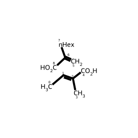 C/C=C(\C)C(=O)O.C=C(CCCCCC)C(=O)O